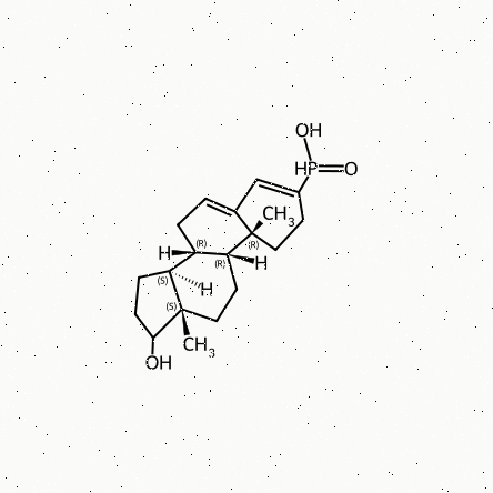 C[C@]12CCC([PH](=O)O)=CC1=CC[C@@H]1[C@H]2CC[C@]2(C)C(O)CC[C@@H]12